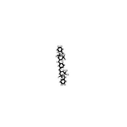 CC1(C)CC(Cc2cccc(CC3CC(C)(C)N(Cc4ccccc4)C(C)(C)C3)c2)CC(C)(C)N1Cc1ccccc1